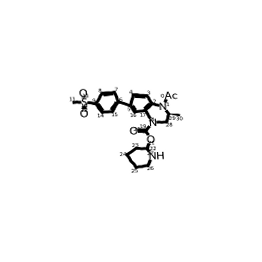 CC(=O)N1c2ccc(-c3ccc(S(C)(=O)=O)cc3)cc2N(C(=O)OC2CCCCN2)C[C@@H]1C